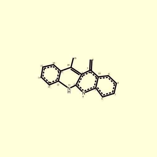 C=c1c2c(nc3ccccc13)Nc1ccccc1C=2C